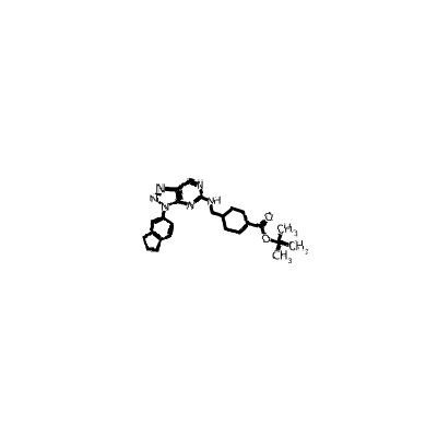 CC(C)(C)OC(=O)C1CCC(CNc2ncc3nnn(-c4ccc5c(c4)CCC5)c3n2)CC1